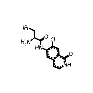 CC(C)C[C@H](N)C(=O)Nc1cc2cc[nH]c(=O)c2cc1Cl